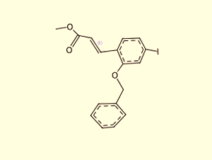 COC(=O)/C=C/c1ccc(I)cc1OCc1ccccc1